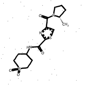 C[C@H]1CCCN1C(=O)c1csc(C(=O)NC2CCS(=O)(=O)CC2)n1